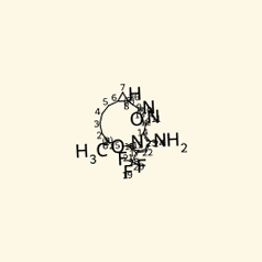 C[C@@H]1CCCCC2C[C@H]2c2nnc(o2)-c2nc(c(C(F)(F)F)cc2N)O1